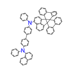 c1ccc(N(c2ccc(-c3ccc(N(c4ccccc4)c4ccc5c6c(cccc46)C46c7ccccc7-c7ccccc7C47c4ccccc4-c4ccccc4C576)cc3)cc2)c2cccc3ccccc23)cc1